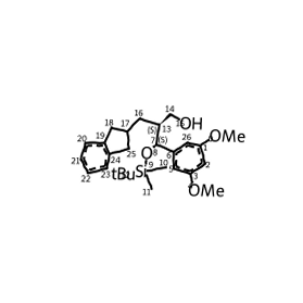 COc1cc(OC)cc([C@@H](O[Si](C)(C)C(C)(C)C)[C@H](CO)CC2Cc3ccccc3C2)c1